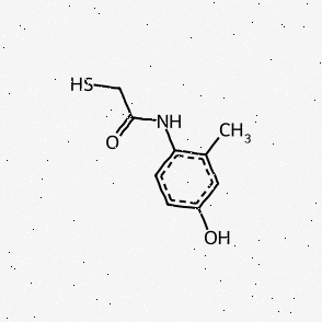 Cc1cc(O)ccc1NC(=O)CS